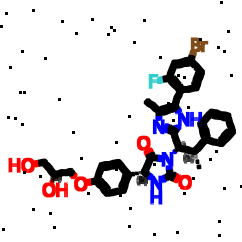 Cc1nc([C@H]([C@@H](C)c2ccccc2)N2C(=O)N[C@H](c3ccc(OC[C@H](O)CO)cc3)C2=O)[nH]c1-c1ccc(Br)cc1F